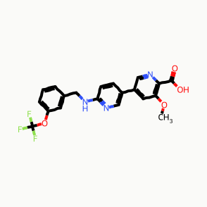 COc1cc(-c2ccc(NCc3cccc(OC(F)(F)F)c3)nc2)cnc1C(=O)O